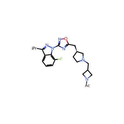 CC(=O)N1CC(CN2CC[C@@H](Cc3nc(-n4nc(C(C)C)c5cccc(F)c54)no3)C2)C1